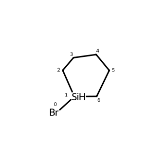 Br[SiH]1CCCCC1